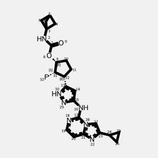 O=C(NC12CC(C1)C2)O[C@@H]1CC[C@H](c2cc(Nc3nccc4nc(C5CC5)cn34)n[nH]2)[C@@H]1F